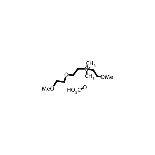 COCCOCC[N+](C)(C)CCOC.O=C([O-])O